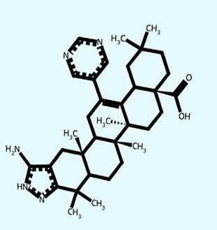 CC1(C)CC[C@]2(C(=O)O)CC[C@]3(C)C(=C(c4cncnc4)CC4[C@@]5(C)Cc6c(n[nH]c6N)C(C)(C)C5CC[C@]43C)C2C1